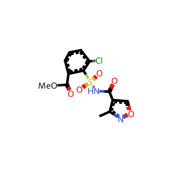 COC(=O)c1cccc(Cl)c1S(=O)(=O)NC(=O)c1conc1C